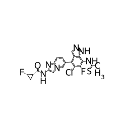 CC(=S)Nc1c(F)c(Cl)c(-c2ccc3nc(NC(=O)[C@@H]4C[C@@H]4F)cn3c2)c2cn[nH]c12